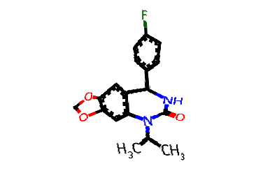 CC(C)N1C(=O)NC(c2ccc(F)cc2)c2cc3c(cc21)OCO3